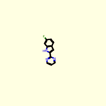 Fc1ccc2cc(-c3ncccn3)[nH]c2c1